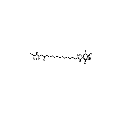 CCCC(CCC)C(=O)NCC(=O)CCCCCCCCCCCCN(N)C(=O)n1cc(F)c(=O)[nH]c1=O